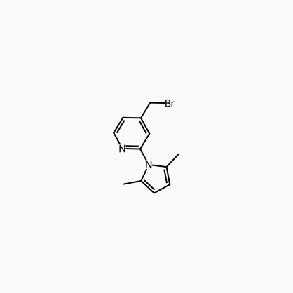 Cc1ccc(C)n1-c1cc(CBr)ccn1